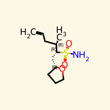 C=CC[C@@H](C)[C@@H](C[C@H]1CCCO1)S(N)(=O)=O